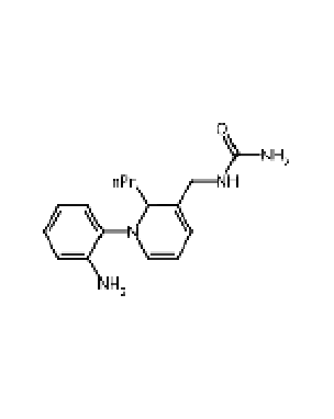 CCCC1C(CNC(N)=O)=CC=CN1c1ccccc1N